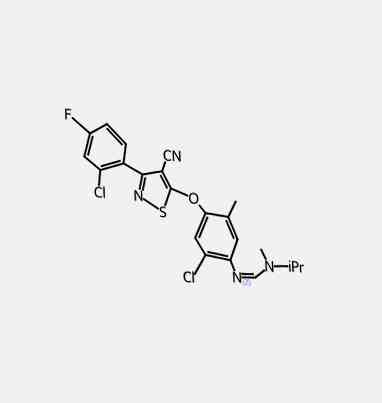 Cc1cc(/N=C\N(C)C(C)C)c(Cl)cc1Oc1snc(-c2ccc(F)cc2Cl)c1C#N